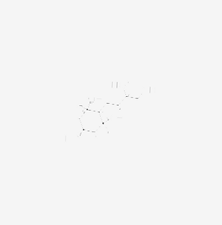 CCC(O)CCC1C(C)(C)CC(O)CC1(C)O